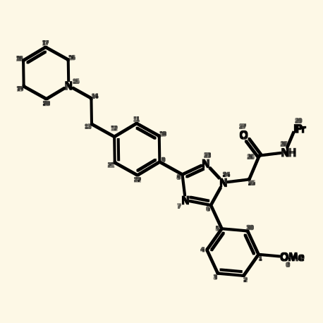 COc1cccc(-c2nc(-c3ccc(CCN4CC=CCC4)cc3)nn2CC(=O)NC(C)C)c1